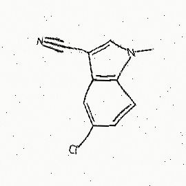 Cn1cc(C#N)c2cc(Cl)ccc21